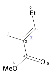 CC/C=C(\C)C(=O)OC